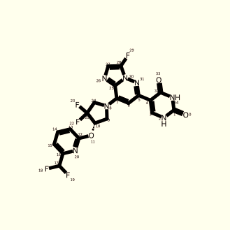 O=c1[nH]cc(-c2cc(N3C[C@H](Oc4cccc(C(F)F)n4)C(F)(F)C3)c3ncc(F)n3n2)c(=O)[nH]1